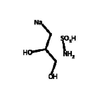 NS(=O)(=O)O.OCC(O)[CH2][Na]